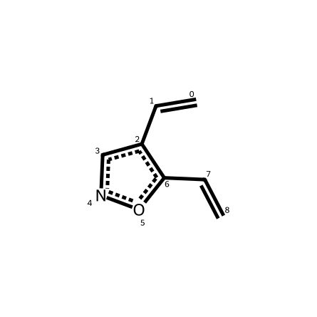 C=Cc1cnoc1C=C